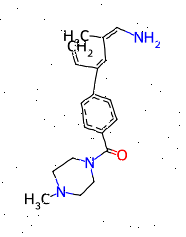 C=C/C(=C\C(C)=C/N)c1ccc(C(=O)N2CCN(C)CC2)cc1